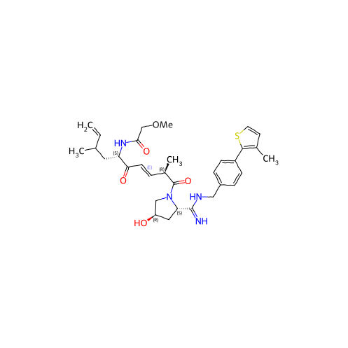 C=CC(C)C[C@H](NC(=O)COC)C(=O)/C=C/[C@@H](C)C(=O)N1C[C@H](O)C[C@H]1C(=N)NCc1ccc(-c2sccc2C)cc1